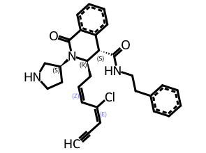 C#C/C=C(Cl)\C=C/C[C@@H]1[C@@H](C(=O)NCCc2ccccc2)c2ccccc2C(=O)N1[C@H]1CCNC1